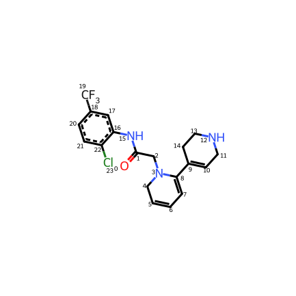 O=C(CN1CC=CC=C1C1=CCNCC1)Nc1cc(C(F)(F)F)ccc1Cl